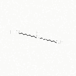 NCCCCCCCCCNCCCCCCCCCN